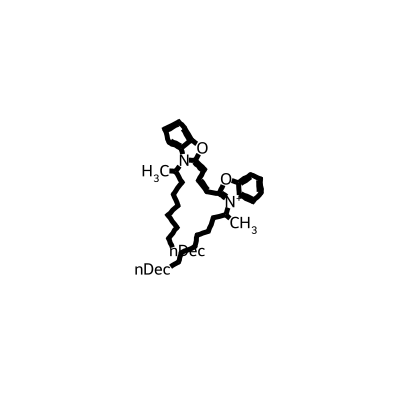 CCCCCCCCCCCCCCCCC(C)N1C(=CC=Cc2oc3ccccc3[n+]2C(C)CCCCCCCCCCCCCCCC)Oc2ccccc21